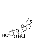 Cc1cc2c(s1)CCC(CNC1CCC(Oc3cccc(O)c3)C1O)C2=O.Cl